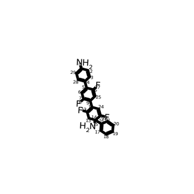 Nc1ccc(-c2cc(F)c(C3=C(F)CC(N)(c4ccccc4)C(F)=C3)cc2F)cc1